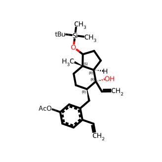 C=Cc1ccc(OC(C)=O)cc1C[C@H]1CC[C@]2(C)C(O[Si](C)(C)C(C)(C)C)CC[C@H]2[C@@]1(O)C=C